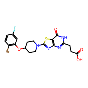 O=C(O)CCc1nc2nc(N3CCC(Oc4cc(F)ccc4Br)CC3)sc2c(=O)[nH]1